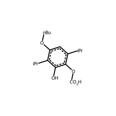 CCCCOc1cc(C(C)C)c(OC(=O)O)c(O)c1C(C)C